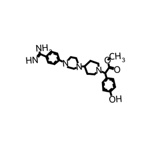 COC(=O)C(c1ccc(O)cc1)N1CCC(N2CCN(c3ccc(C(=N)N)cc3)CC2)CC1